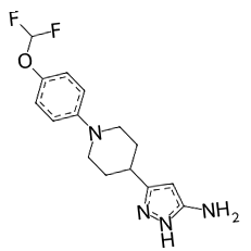 Nc1cc(C2CCN(c3ccc(OC(F)F)cc3)CC2)n[nH]1